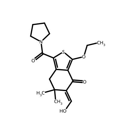 CCOc1sc(C(=O)N2CCCC2)c2c1C(=O)/C(=C/O)C(C)(C)C2